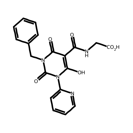 O=C(O)CNC(=O)c1c(O)n(-c2ccccn2)c(=O)n(Cc2ccccc2)c1=O